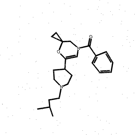 CC(C)CCN1CCC(C2=CN(C(=O)c3ccccc3)CC3(CC3)O2)CC1